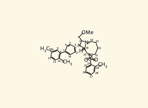 COCC1[C@@H](c2ccc(-c3cc(C)ccc3C)cc2)[C@@H]2CN(S(=O)(=O)c3ccccc3C)CCCCN12